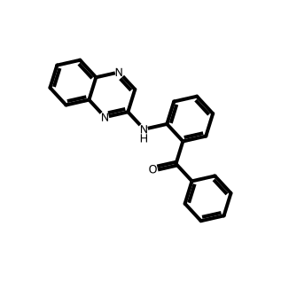 O=C(c1ccccc1)c1ccccc1Nc1cnc2ccccc2n1